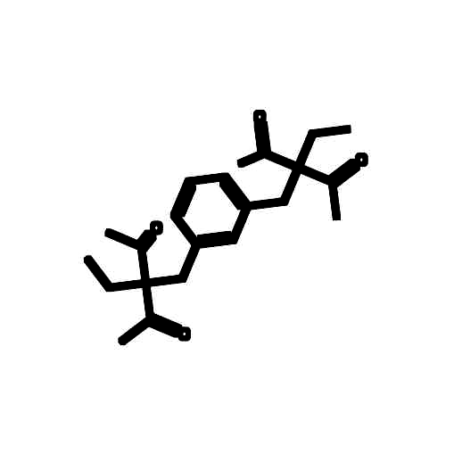 CCC(Cc1cccc(CC(CC)(C(C)=O)C(C)=O)c1)(C(C)=O)C(C)=O